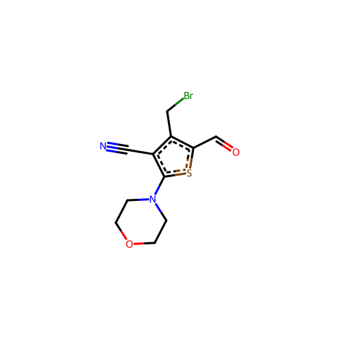 N#Cc1c(N2CCOCC2)sc(C=O)c1CBr